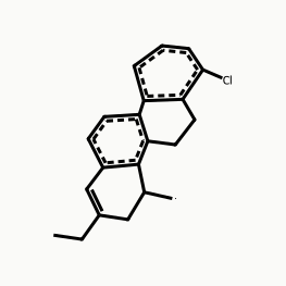 [CH2]C1CC(CC)=Cc2ccc3c(c21)CCc1c(Cl)cccc1-3